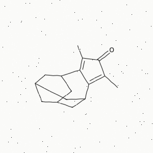 CC1=C2C(=C(C)C1=O)C1CC3CC(CC2C3)C1